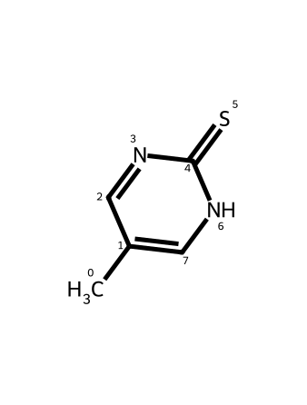 Cc1cnc(=S)[nH]c1